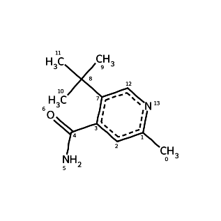 Cc1cc(C(N)=O)c(C(C)(C)C)cn1